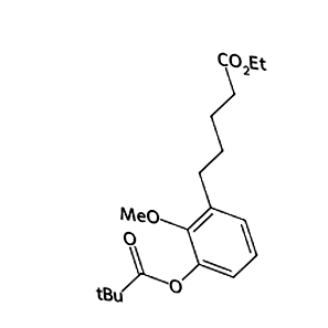 CCOC(=O)CCCCc1cccc(OC(=O)C(C)(C)C)c1OC